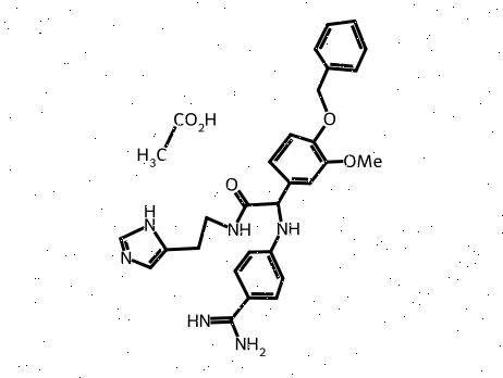 CC(=O)O.COc1cc(C(Nc2ccc(C(=N)N)cc2)C(=O)NCCc2cnc[nH]2)ccc1OCc1ccccc1